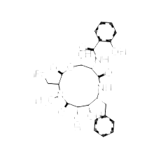 CC(C)CC1C(=O)O[C@H](C)[C@H](NC(=O)c2ccccc2O)C(=O)N[C@@H](Cc2ccccc2)[C@@H](O)[C@@H](C)C(=O)N1C